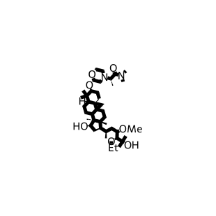 CCO[C@@H](C(C[C@@H](C)[C@H]1C[C@H](O)[C@@]2(C)C3CC[C@H]4C(C)(C)[C@@H](O[C@H]5CN([C@@H](C)C(=O)N(C)C)CCO5)CC[C@@]45CC35CC[C@]12C)OC)C(C)(C)O